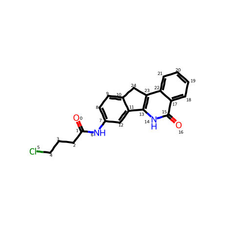 O=C(CCCCl)Nc1ccc2c(c1)-c1[nH]c(=O)c3ccccc3c1C2